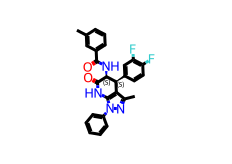 Cc1cccc(C(=O)N[C@@H]2C(=O)Nc3c(c(C)nn3-c3ccccc3)[C@@H]2c2ccc(F)c(F)c2)c1